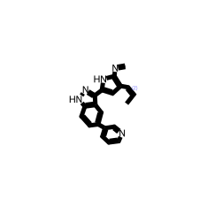 C=Nc1[nH]c(-c2n[nH]c3ccc(-c4cccnc4)cc23)cc1/C=C\C